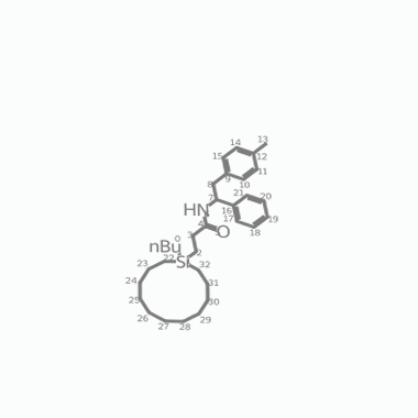 CCCC[Si]1(CCC(=O)NC(Cc2ccc(C)cc2)c2ccccc2)CCCCCCCCCCC1